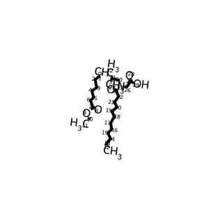 CCCCCCCC(=O)OCC.CCCCCCCCCCCC(=O)N(CC(=O)O)CC(C)C